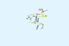 CCSC(S)C(CSC(C)O)(C(S)SCC)C(S)SCC